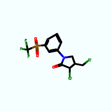 O=C1C(Cl)C(CCl)CN1c1cccc(S(=O)(=O)C(F)(F)F)c1